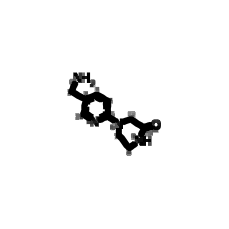 NCc1ccc(N2CCNC(=O)C2)nc1